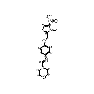 Cn1c([N+](=O)[O-])cnc1COc1ccc(N=CN2CCOCC2)cc1